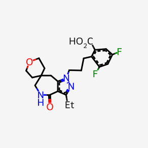 CCc1nn(CCCc2c(F)cc(F)cc2C(=O)O)c2c1C(=O)NCC1(CCOCC1)C2